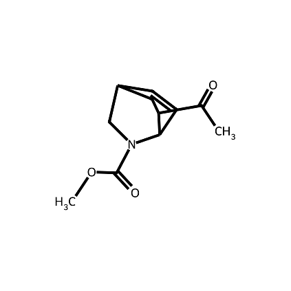 COC(=O)N1CC2C=CC1C(C(C)=O)C2